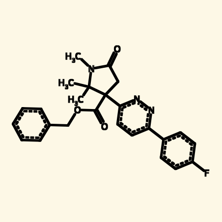 CN1C(=O)CC(C(=O)OCc2ccccc2)(c2ccc(-c3ccc(F)cc3)nn2)C1(C)C